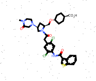 CN1CCN([C@H]2C[C@@H](CO[C@H]3CC[C@H](C(=O)O)CC3)N(C(=O)Cc3cc(Cl)c(NC(=O)c4csc5ccccc45)cc3Cl)C2)CC1=O